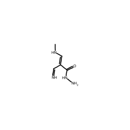 CN/C=C(\C=N)C(=O)NN